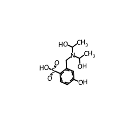 CC(O)N(Cc1cc(O)ccc1S(=O)(=O)O)C(C)O